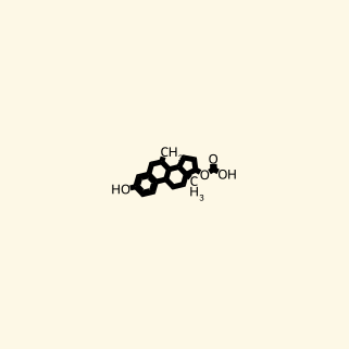 CC1Cc2cc(O)ccc2C2CCC3(C)C(OC(=O)O)CCC3C12